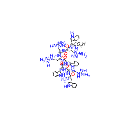 N=C(N)NCCC[C@H](NC(=O)[C@H](CCCNC(=N)N)NC(=O)[C@H](CCCNC(=N)N)NC(=O)[C@H](Cc1c[nH]c2ccccc12)NC(=O)[C@H](Cc1c[nH]c2ccccc12)NC(=O)[C@H](CCCNC(=N)N)NC(=O)[C@@H](N)Cc1c[nH]c2ccccc12)C(=O)N[C@@H](Cc1c[nH]c2ccccc12)C(=O)O